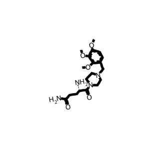 COc1ccc(CN2CCN(C(=O)[C@@H](N)CCC(N)=O)CC2)c(OC)c1OC